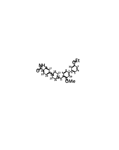 CCOc1cccc(-c2ccc(CN3CCN(c4ccc(C(N)=O)cc4)CC3)c(OC)c2)c1